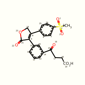 CS(=O)(=O)c1ccc(C2=C(c3cccc(C(=O)CCC(=O)O)c3)C(=O)OC2)cc1